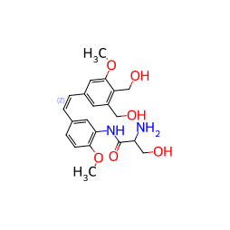 COc1ccc(/C=C\c2cc(CO)c(CO)c(OC)c2)cc1NC(=O)C(N)CO